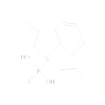 C=CCS(CC=C)(c1ccccc1)P(O)(O)=S